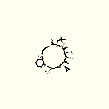 C[C@@H]1CN[C@@H](C2CC2)C(=O)N(C)[C@H](C)C(=O)N[C@H](CC(C)(C)C)C(=O)NCCC[C@@H]2CCCC[C@@H]2O1